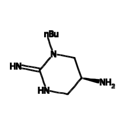 CCCCN1C[C@@H](N)CNC1=N